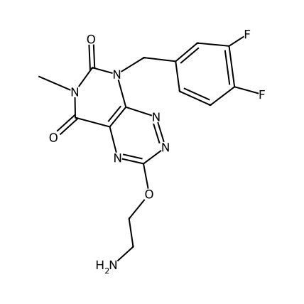 Cn1c(=O)c2nc(OCCN)nnc2n(Cc2ccc(F)c(F)c2)c1=O